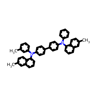 Cc1cccc(N(c2ccc(-c3ccc(N(c4ccccc4)c4cccc5cc(C)ccc45)cc3)cc2)c2cccc3cc(C)ccc23)c1